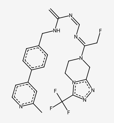 C=C(/N=C\N=C(/CF)N1CCn2c(nnc2C(F)(F)F)C1)NCc1ccc(-c2ccnc(C)c2)cc1